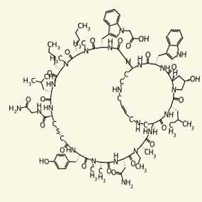 CCCC[C@H]1C(=O)N(C)[C@@H](CCCC)C(=O)N[C@@H](CC(C)C)C(=O)N[C@H](C(=O)NCC(N)=O)CSCC(=O)N[C@@H](Cc2ccc(O)cc2)C(=O)N(C)[C@@H](C)C(=O)N[C@@H](CC(N)=O)C(=O)N(CC)[C@@H](C)C(=O)N[C@H]2CNC/C=C\CNCC[C@H](NC(=O)[C@H](Cc3c[nH]c4ccccc34)NC(=O)[C@@H]3C[C@@H](O)CN3C(=O)[C@H](CC(C)C)NC2=O)C(=O)N[C@@H](Cc2cn(CC(=O)O)c3ccccc23)C(=O)N1C